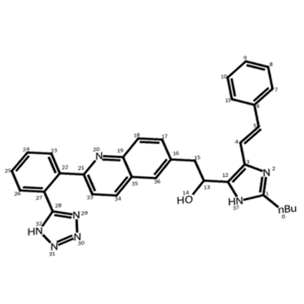 CCCCc1nc(C=Cc2ccccc2)c(C(O)Cc2ccc3nc(-c4ccccc4-c4nnn[nH]4)ccc3c2)[nH]1